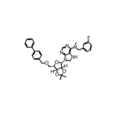 CN(Cc1cccc(F)c1)c1ncnc2c1NCN2[C@@H]1O[C@H](COCc2ccc(-c3ccccc3)cc2)[C@H]2OC(C)(C)O[C@H]21